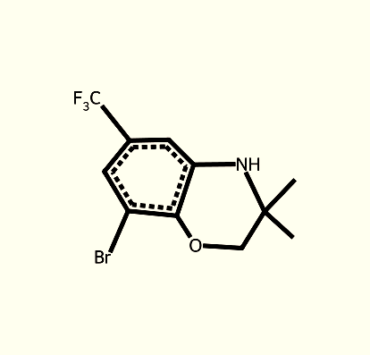 CC1(C)COc2c(Br)cc(C(F)(F)F)cc2N1